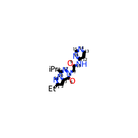 CCc1cc2c(=O)n(CC(=O)Nc3ccncn3)nc(C(C)C)n2n1